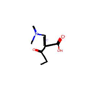 CCC(=O)/C(=C\N(C)C)C(=O)O